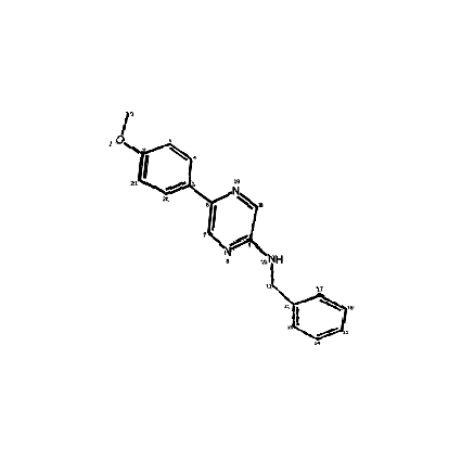 COc1ccc(-c2cnc(NCc3ccccc3)cn2)cc1